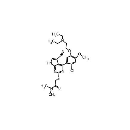 CCN(CC)CCOc1cc(-c2nc(SCC(=O)N(C)C)nc3[nH]cc(C#N)c23)c(Cl)cc1OC